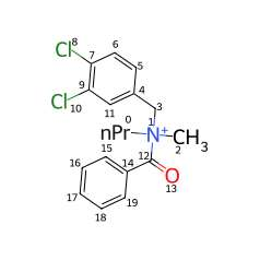 CCC[N+](C)(Cc1ccc(Cl)c(Cl)c1)C(=O)c1ccccc1